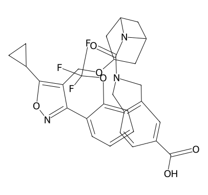 O=C(O)c1ccc2c(c1)CN(C(=O)N1C3CC(OCc4c(-c5ccccc5OC(F)(F)F)noc4C4CC4)CC1C3)C2